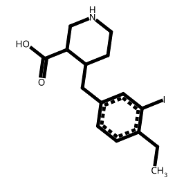 CCc1ccc(CC2CCNCC2C(=O)O)cc1I